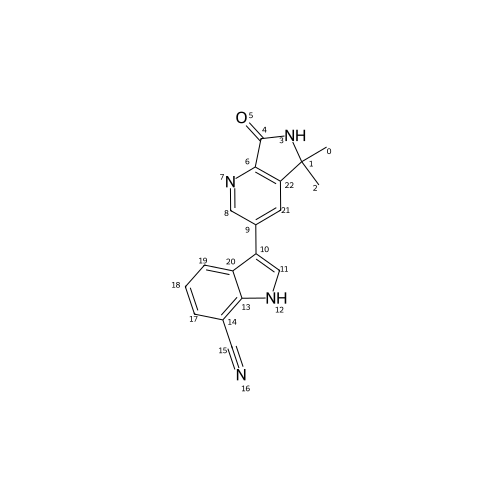 CC1(C)NC(=O)c2ncc(-c3c[nH]c4c(C#N)cccc34)cc21